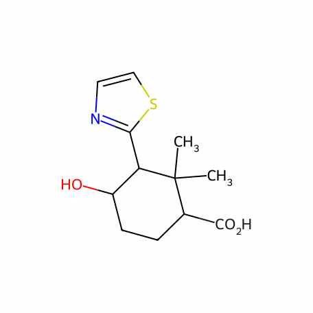 CC1(C)C(C(=O)O)CCC(O)C1c1nccs1